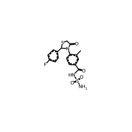 Cc1cc(C(=O)NS(N)(=O)=O)ccc1N1C(=O)CSC1c1ccc(F)cc1